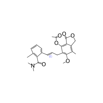 COc1c(C)c2c(c(OC(C)=O)c1C/C=C/c1cccc(C)c1C(=O)N(C)C)C(=O)OC2